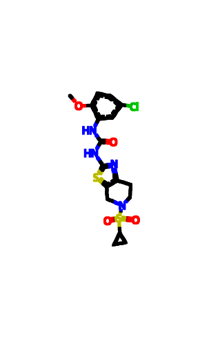 COc1ccc(Cl)cc1NC(=O)Nc1nc2c(s1)CN(S(=O)(=O)C1CC1)CC2